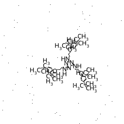 CCC(C)(C)c1ccc(OCCCNc2nc(NCCCOc3ccc(C(C)(C)CC)cc3C(C)(C)CC)nc(NCCCOc3ccc(C(C)(C)CC)cc3C(C)(C)CC)n2)c(C(C)(C)CC)c1